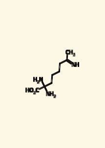 CC(=N)CCCCC(N)(N)C(=O)O